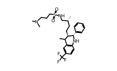 CC1c2cc(C(F)(F)F)ccc2N[C@@H](c2ccccc2)[C@@H]1CC[C@@H](C)CNS(=O)(=O)CCCN(C)C